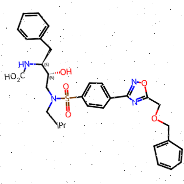 CC(C)CN(C[C@@H](O)[C@H](Cc1ccccc1)NC(=O)O)S(=O)(=O)c1ccc(-c2noc(COCc3ccccc3)n2)cc1